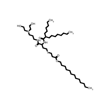 CCCCCCCCCCCCCOC(=O)CCSCCC(NC(=O)C(CCCCCC)CCCCCCCC)C(=O)NCCCN(CCO)CCO